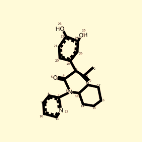 C=C(C)C(C(=O)N(c1ccccn1)C1CCCCC1)c1ccc(O)c(O)c1